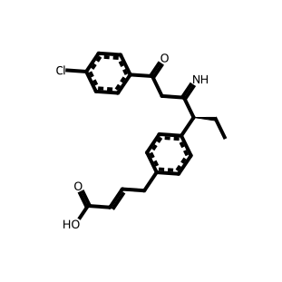 CC[C@H](C(=N)CC(=O)c1ccc(Cl)cc1)c1ccc(C/C=C/C(=O)O)cc1